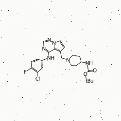 CC(C)(C)OC(=O)NC1CCN(Cc2ccn3ncnc(Nc4ccc(F)c(Cl)c4)c23)CC1